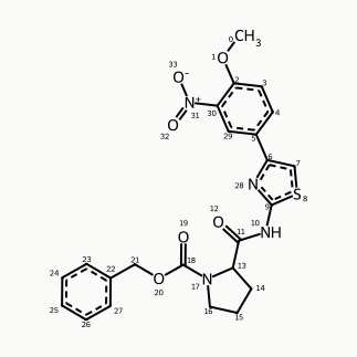 COc1ccc(-c2csc(NC(=O)C3CCCN3C(=O)OCc3ccccc3)n2)cc1[N+](=O)[O-]